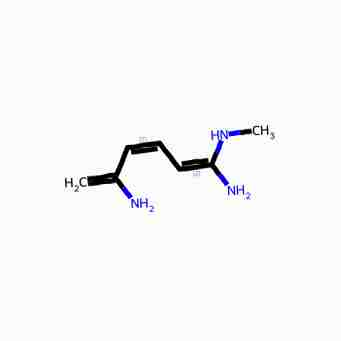 C=C(N)/C=C\C=C(\N)NC